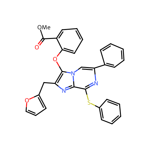 COC(=O)c1ccccc1Oc1c(Cc2ccco2)nc2c(Sc3ccccc3)nc(-c3ccccc3)cn12